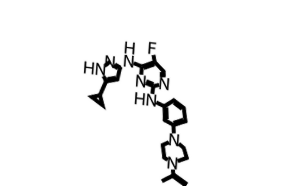 C=C(C)N1CCN(c2cccc(Nc3ncc(F)c(Nc4cc(C5CC5)[nH]n4)n3)c2)CC1